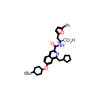 CC(C)c1ccc(C[C@H](NC(=O)c2cc3ccc(OC4CCC(C(C)(C)C)CC4)cc3c(CC3CCCC3)n2)C(=O)O)o1